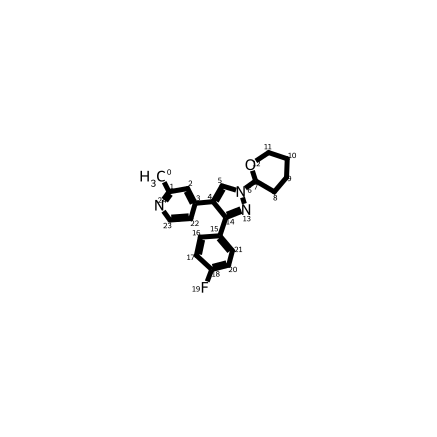 Cc1cc(-c2cn(C3CCCCO3)nc2-c2ccc(F)cc2)ccn1